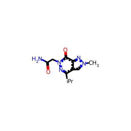 CC(C)c1nn(CC(N)=O)c(=O)c2nn(C)cc12